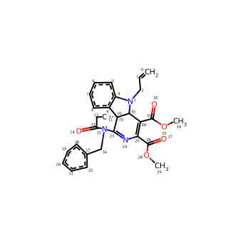 C=CCN1c2ccccc2[C@]23CCC(=O)N(Cc4ccccc4)C2=NC(C(=O)OC)=C(C(=O)OC)C13